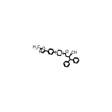 C#CC(CC(=O)N1CCN(c2ccc(-c3cnc(C)o3)cc2)CC1)C(c1ccccc1)c1ccccc1